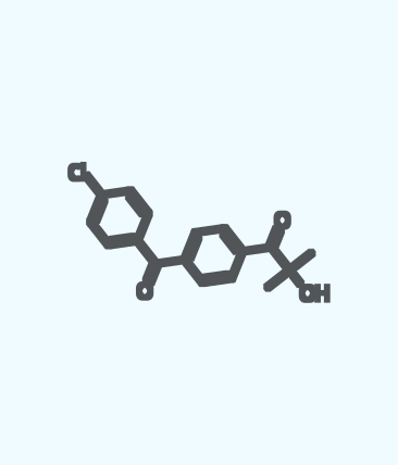 CC(C)(O)C(=O)c1ccc(C(=O)c2ccc(Cl)cc2)cc1